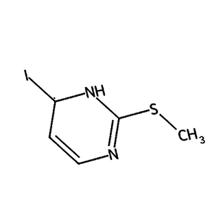 CSC1=NC=C[C](I)N1